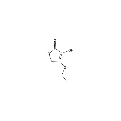 CCOC1=C(O)C(=O)OC1